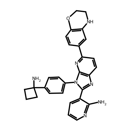 Nc1ncccc1-c1nc2ccc(-c3ccc4c(c3)NCCO4)nc2n1-c1ccc(C2(N)CCC2)cc1